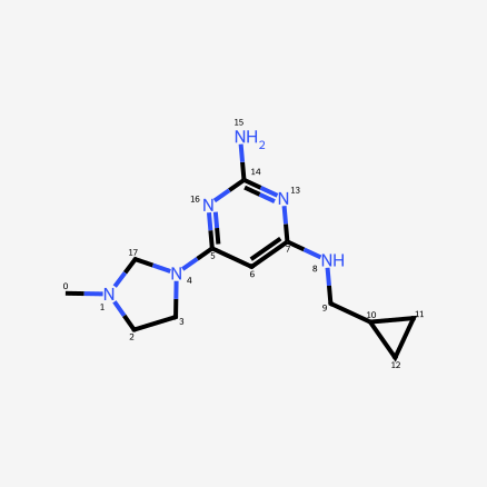 CN1CCN(c2cc(NCC3CC3)nc(N)n2)C1